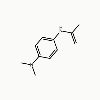 C=C(C)Nc1ccc(N(C)C)cc1